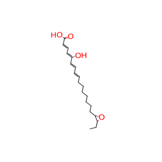 CCC1OC1CCCCCCC/C=C/C=C/C(O)=C/C=C/C(=O)O